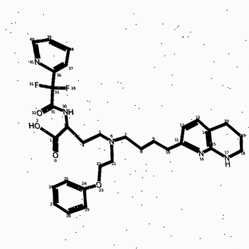 O=C(O)C(CCN(CCCCc1ccc2c(n1)NCCC2)CCOc1ccccc1)NC(=O)C(F)(F)c1ccccn1